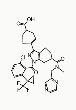 CN(Cc1cnccn1)C(=O)C1CCc2c(C3=CCC(C(=O)O)CC3)nn(C(=O)c3c(Cl)cccc3C3(C(F)(F)F)CC3)c2C1